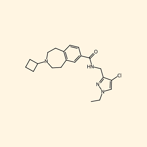 CCn1cc(Cl)c(CNC(=O)c2ccc3c(c2)CCN(C2CCC2)CC3)n1